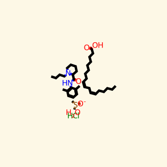 CCCCC/C=C\C/C=C\CCCCCCCC(=O)O.CCCCN1CCCCC1C(=O)Nc1c(C)cccc1C.C[S+](C)[O-].Cl.O